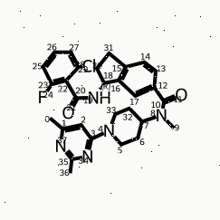 Cc1cc(N2CCC(N(C)C(=O)c3ccc4c(c3)[C@H](NC(=O)c3c(F)cccc3Cl)CC4)CC2)nc(C)n1